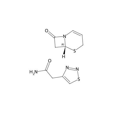 NC(=O)Cc1csnn1.O=C1C[C@H]2SCC=CN12